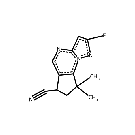 CC1(C)CC(C#N)c2cnc3cc(F)nn3c21